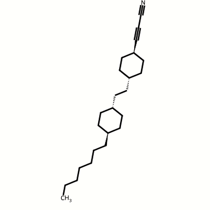 CCCCCCC[C@H]1CC[C@H](CC[C@H]2CC[C@H](C#CC#N)CC2)CC1